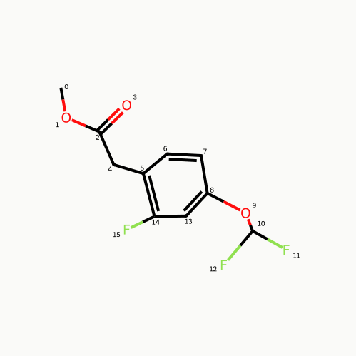 COC(=O)Cc1ccc(OC(F)F)cc1F